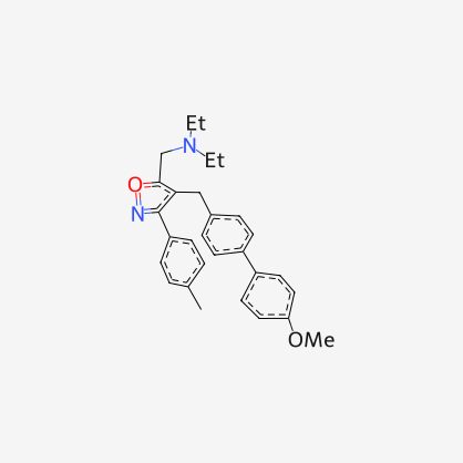 CCN(CC)Cc1onc(-c2ccc(C)cc2)c1Cc1ccc(-c2ccc(OC)cc2)cc1